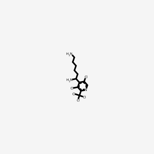 NCCCCCC(N)c1c(Cl)cnc(C(Cl)(Cl)Cl)c1Cl